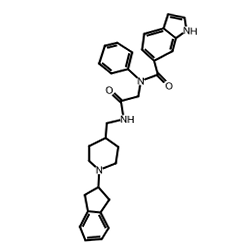 O=C(CN(C(=O)c1ccc2cc[nH]c2c1)c1ccccc1)NCC1CCN(C2Cc3ccccc3C2)CC1